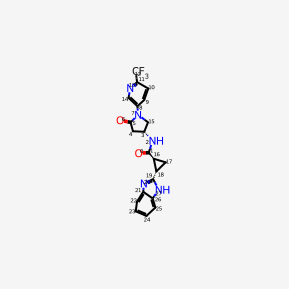 O=C(N[C@@H]1CC(=O)N(c2ccc(C(F)(F)F)nc2)C1)[C@H]1C[C@@H]1c1nc2ccccc2[nH]1